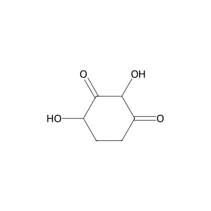 O=C1CCC(O)C(=O)C1O